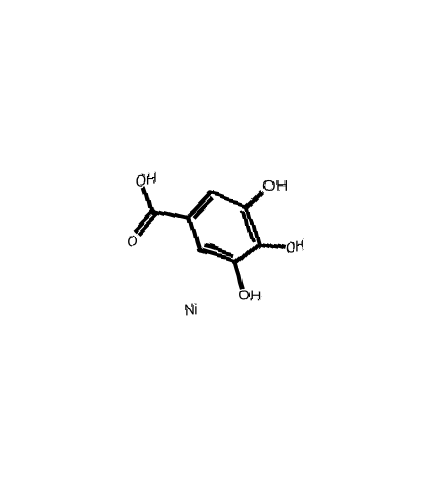 O=C(O)c1cc(O)c(O)c(O)c1.[Ni]